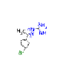 C/C(=N\NC(=N)N)c1ccc(Br)cc1